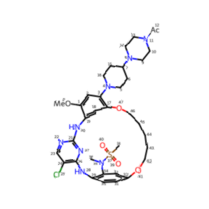 COc1cc(N2CCC(N3CCN(C(C)=O)CC3)CC2)c2cc1Nc1ncc(Cl)c(n1)Nc1ccc(cc1N(C)S(C)(=O)=O)OCCCCCO2